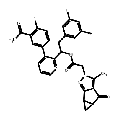 NC(=O)c1cc(-c2cccnc2C(Cc2cc(F)cc(F)c2)NC(=O)Cn2nc3c(c2C(F)(F)F)C(=O)C2CC32)ccc1F